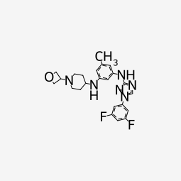 Cc1cc(Nc2ncn(-c3cc(F)cc(F)c3)n2)cc(NC2CCN(C3COC3)CC2)c1